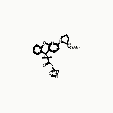 COC[C@H]1CCCN1c1ccc2c(n1)Oc1ccccc1[C@@H]2C(C)(C)C(=O)Nc1nncs1